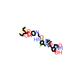 CN(CCC(=O)Nc1cc(F)c(CNC[C@@H](O[Si](C)(C)C(C)(C)C)c2ccc(O)c3[nH]c(=O)ccc23)cc1F)C1CCC(OC(=O)C(O)(c2cccs2)c2cccs2)CC1